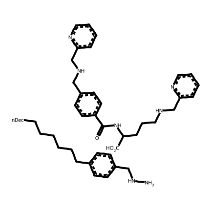 CCCCCCCCCCCCCCCCc1ccc(CNN)cc1.O=C(NC(CCCNCc1ccccn1)C(=O)O)c1ccc(CNCc2ccccn2)cc1